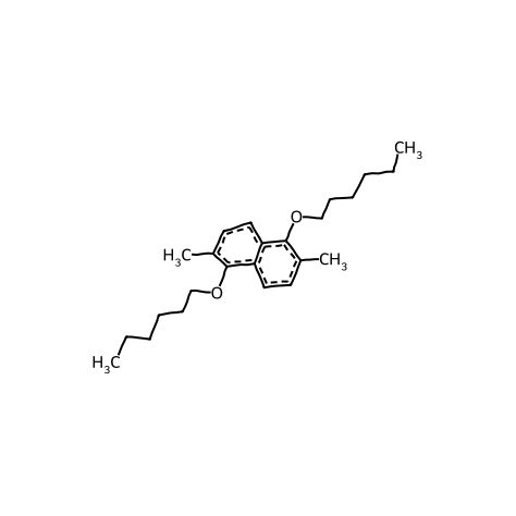 CCCCCCOc1c(C)ccc2c(OCCCCCC)c(C)ccc12